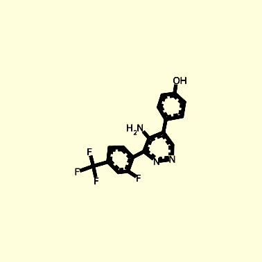 Nc1c(-c2ccc(O)cc2)cnnc1-c1ccc(C(F)(F)F)cc1F